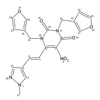 Cn1cc(C=Cc2c([N+](=O)[O-])c(=O)n(Cc3ccoc3)c(=O)n2Cc2ccoc2)cn1